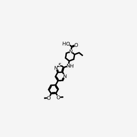 CCC1CC(Nc2snc3cc(-c4ccc(OC)c(OC)c4)cnc23)CCN1C(=O)O